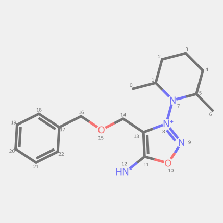 CC1CCCC(C)N1[n+]1noc([NH-])c1COCc1ccccc1